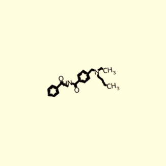 CCCCN(CC)Cc1ccc(C(=O)NCC(=O)c2ccccc2)cc1